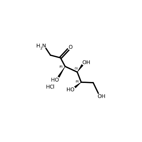 Cl.NCC(=O)[C@H](O)[C@@H](O)[C@H](O)CO